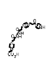 O=C(O)CCN1CCN(CCC(=O)NCNC(=O)CCN2CCN(CCC(=O)N3CCNCC3)CC2)CC1